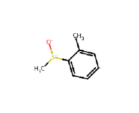 Cc1c[c]ccc1[S+](C)[O-]